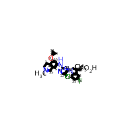 CN1CCc2c(cc(Nc3ncc(Cl)c(N4CC(C)(CC(=O)O)c5cc(F)ccc54)n3)cc2OC2CC2)C1